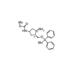 CC(C)(C)OC(=O)NC1C[C@H](CO[Si](c2ccccc2)(c2ccccc2)C(C)(C)C)[C@H](N)C1